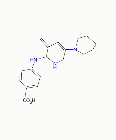 C=C1C=C(N2CCCCC2)CNC1Nc1ccc(C(=O)O)cc1